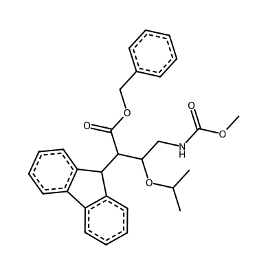 COC(=O)NCC(OC(C)C)C(C(=O)OCc1ccccc1)C1c2ccccc2-c2ccccc21